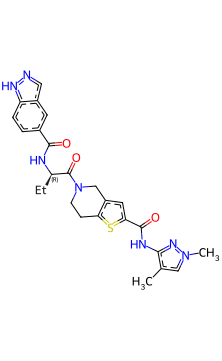 CC[C@@H](NC(=O)c1ccc2[nH]ncc2c1)C(=O)N1CCc2sc(C(=O)Nc3nn(C)cc3C)cc2C1